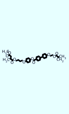 C=C(C)C(=O)OCCOc1ccc(-c2ccc(C(=O)Oc3ccc(OCCCCOC(=O)C(=C)CC(=O)OC)cc3)cc2)cc1